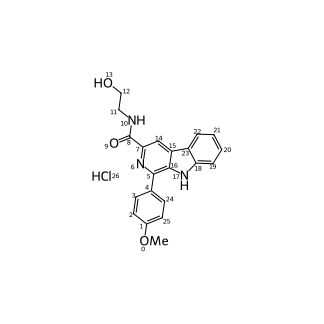 COc1ccc(-c2nc(C(=O)NCCO)cc3c2[nH]c2ccccc23)cc1.Cl